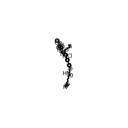 C[Si](C)(C)CCOCn1c(O[C@@H]2CO[C@H]3[C@@H]2OC[C@H]3OC2CCCCO2)nc2nc(-c3ccc(-c4ccc(OCCNC(=O)CCCCCN=[N+]=[N-])cc4)cc3)c(Cl)cc21